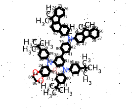 CC(C)(C)c1ccc(N2c3ccc(C(C)(C)C)cc3B3c4cc5c(cc4N(c4ccc(C(C)(C)C)cc4)c4cc(-c6ccc(N(c7ccc8c(c7)C(C)(C)c7ccccc7-8)c7ccc8c9c(ccc8c7)C(C)(C)c7ccccc7-9)cc6)cc2c43)OCCO5)cc1